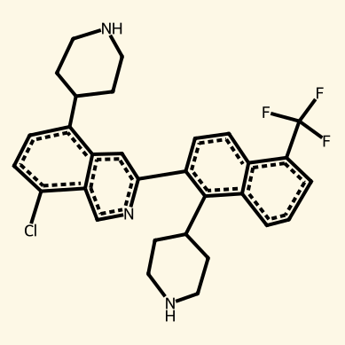 FC(F)(F)c1cccc2c(C3CCNCC3)c(-c3cc4c(C5CCNCC5)ccc(Cl)c4cn3)ccc12